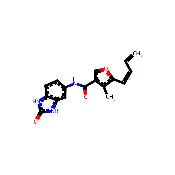 C=C/C=C\c1occ(C(=O)Nc2ccc3[nH]c(=O)[nH]c3c2)c1C